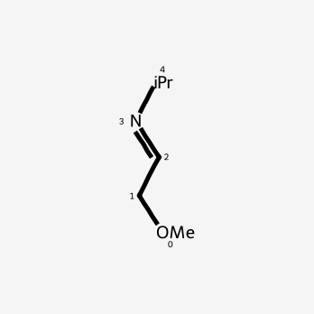 COCC=NC(C)C